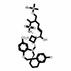 CC(C(C/C=C/C(O)[C@@H]1CC[C@H]1CN1C[C@@]2(CCCc3cc(Cl)ccc32)COc2ccc(C(=O)O)cc21)CO[Si](C)(C)C(C)(C)C)S(N)(=O)=O